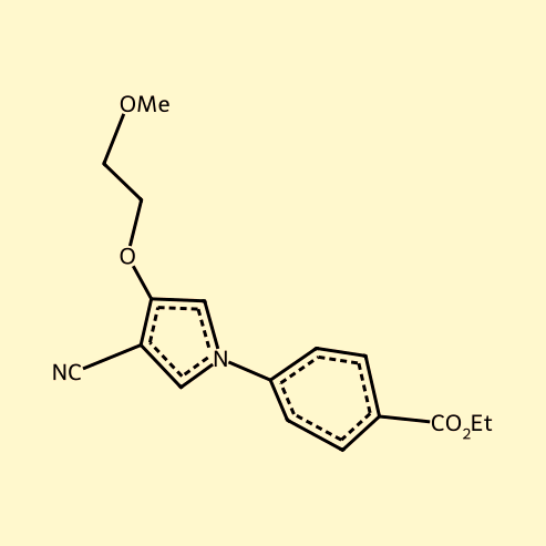 CCOC(=O)c1ccc(-n2cc(C#N)c(OCCOC)c2)cc1